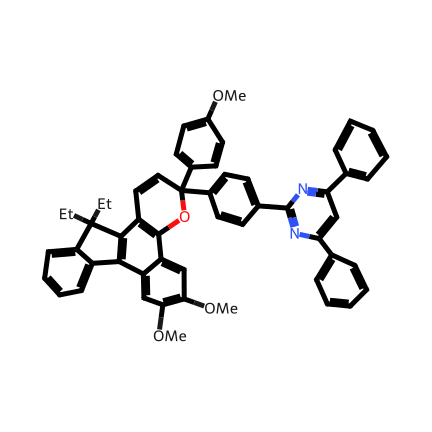 CCC1(CC)c2ccccc2-c2c1c1c(c3cc(OC)c(OC)cc23)OC(c2ccc(OC)cc2)(c2ccc(-c3nc(-c4ccccc4)cc(-c4ccccc4)n3)cc2)C=C1